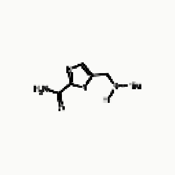 CCCCN(CC)Cc1cnc(C(N)=O)s1